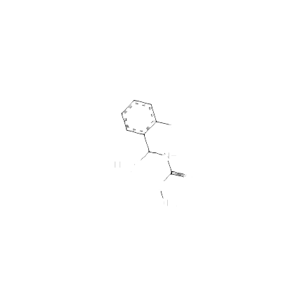 CC(C)(C)OC(=O)NC(C(=O)O)c1ccccc1Cl